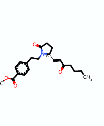 CCCCC(=O)C=C[C@H]1CCC(=O)N1CCc1ccc(C(=O)OC)cc1